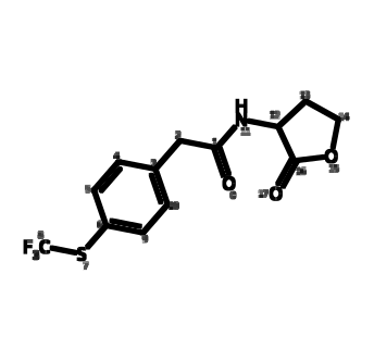 O=C(Cc1ccc(SC(F)(F)F)cc1)NC1CCOC1=O